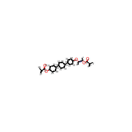 C=C(C)C(=O)O/C(C)=C(\C)Oc1ccc(-c2ccc(-c3ccc(OC(=O)C(=C)C)cc3)cc2)cc1